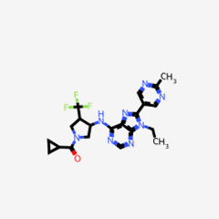 CCn1c(-c2cnc(C)nc2)nc2c(NC3CN(C(=O)C4CC4)CC3C(F)(F)F)ncnc21